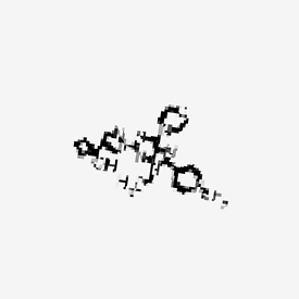 CCn1c(-c2cc[n+](C)cc2)nc2c(N3CCOCC3)nc(-n3cc(C4(O)CCC4)cn3)nc21